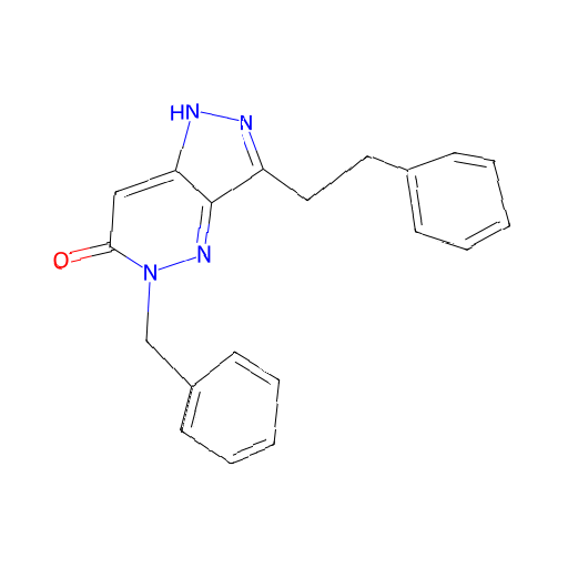 O=c1cc2[nH]nc(CCc3ccccc3)c2nn1Cc1ccccc1